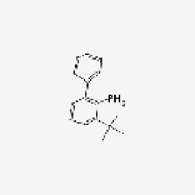 CC(C)(C)c1cccc(-c2ccccc2)c1P